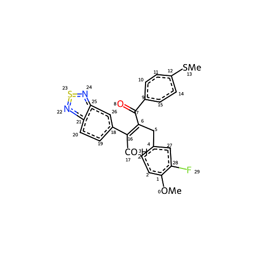 COc1ccc(CC(C(=O)c2ccc(SC)cc2)=C(C(=O)O)c2ccc3nsnc3c2)cc1F